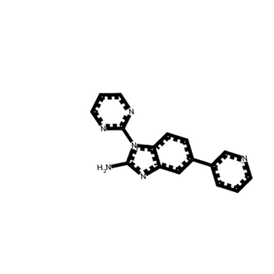 Nc1nc2cc(-c3cccnc3)ccc2n1-c1ncccn1